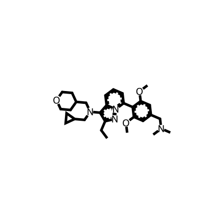 CCc1nn2c(-c3c(OC)cc(CN(C)C)cc3OC)cccc2c1N(CC1CCOCC1)CC1CC1